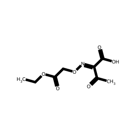 CCOC(=O)CO/N=C(\C(C)=O)C(=O)O